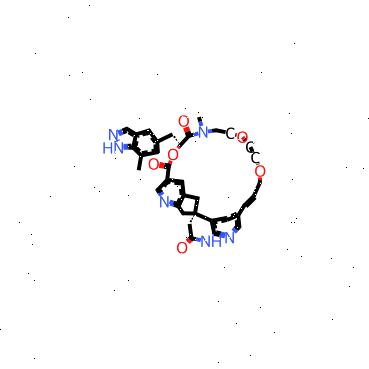 Cc1cc(C[C@H]2OC(=O)c3cnc4c(c3)C[C@]3(CC(=O)Nc5ncc(cc53)/C=C/COCCOCCN(C)C2=O)C4)cc2cn[nH]c12